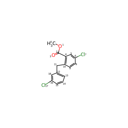 COC(=O)c1cc(Cl)ccc1Cc1cccc(Cl)c1